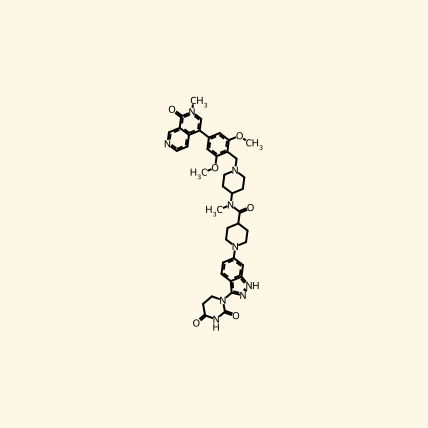 COc1cc(-c2cn(C)c(=O)c3cnccc23)cc(OC)c1CN1CCC(N(C)C(=O)C2CCN(c3ccc4c(N5CCC(=O)NC5=O)n[nH]c4c3)CC2)CC1